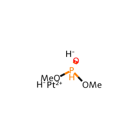 CO[PH](=O)OC.[H-].[H-].[Pt+2]